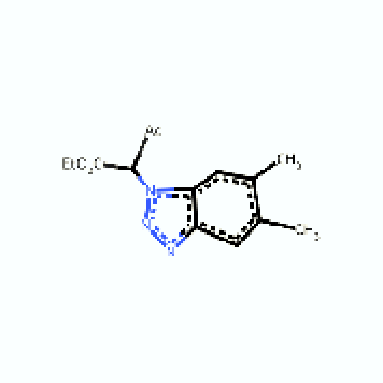 CCOC(=O)C(C(C)=O)n1nnc2cc(C)c(C)cc21